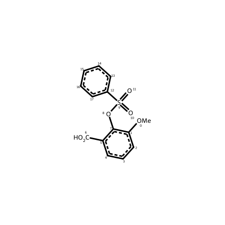 COc1cccc(C(=O)O)c1OS(=O)(=O)c1ccccc1